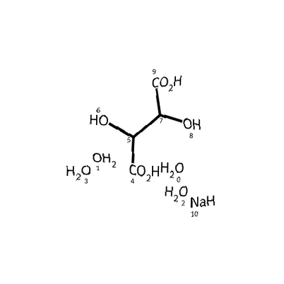 O.O.O.O.O=C(O)C(O)C(O)C(=O)O.[NaH]